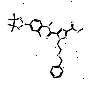 COC(=O)c1cc(C(=O)N(C)c2ccc(B3OC(C)(C)C(C)(C)O3)cc2C)n(CCOCc2ccccc2)n1